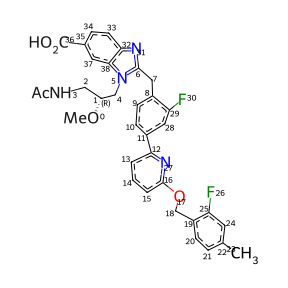 CO[C@H](CNC(C)=O)Cn1c(Cc2ccc(-c3cccc(OCc4ccc(C)cc4F)n3)cc2F)nc2ccc(C(=O)O)cc21